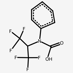 O=C(O)N(c1ccccc1)C(C(F)(F)F)C(F)(F)F